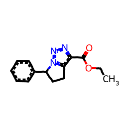 CCOC(=O)c1nnn2c1CCC2c1ccccc1